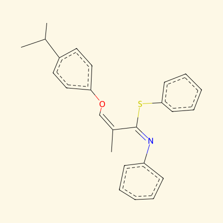 CC(=COc1ccc(C(C)C)cc1)C(=Nc1ccccc1)Sc1ccccc1